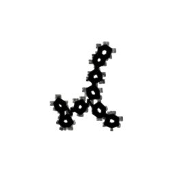 c1ccc(-c2ccc(N(c3ccc(-c4ccc(-c5ccc6ccccc6c5)cc4)cc3)c3ccc(-n4c5ccccc5c5ccccc54)cc3)cc2)cc1